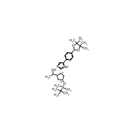 CB(O)N1C[C@H](O[Si](C)(C)C(C)(C)C)C[C@H]1c1ncc(-c2ccc(B3OC(C)(C)C(C)(C)O3)cc2)[nH]1